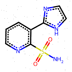 NS(=O)(=O)c1ncccc1-c1ncc[nH]1